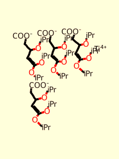 CC(C)OC(=CC(CC(=O)[O-])OC(C)C)OC(C)C.CC(C)OC(=CC(CC(=O)[O-])OC(C)C)OC(C)C.CC(C)OC(=CC(CC(=O)[O-])OC(C)C)OC(C)C.CC(C)OC(=CC(CC(=O)[O-])OC(C)C)OC(C)C.[Ti+4]